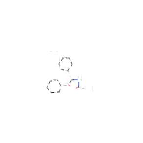 Cc1nc(-c2ccc(C(F)(F)F)cc2)c(-c2ccccc2)o1